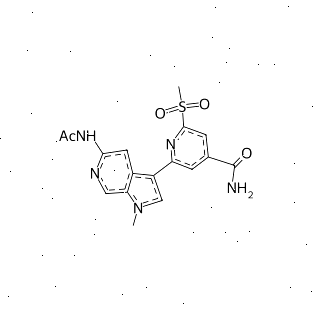 CC(=O)Nc1cc2c(-c3cc(C(N)=O)cc(S(C)(=O)=O)n3)cn(C)c2cn1